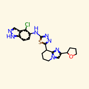 Clc1c(Nc2nnc(C3CCCn4cc(C5CCCO5)nc43)s2)ccc2[nH]ncc12